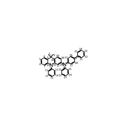 CC1(C)c2ccccc2N(c2ccccc2)c2cc(N(c3ccccc3)c3ccc(-c4ccccc4)cc3)ccc21